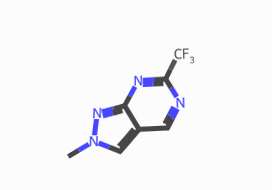 Cn1cc2cnc(C(F)(F)F)nc2n1